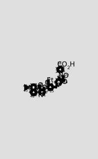 CCOc1cc(CN2CCC3(CC2)CN(c2ccc(C(=O)O)cc2)C(=O)C3=O)ccc1Oc1ccncc1C(=O)N1CCN(C2CC2)c2ccccc21